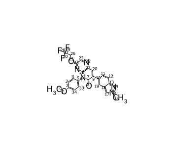 COc1ccc(-n2c(=O)c(-c3ccc4nn(C)cc4c3)cc3ncc(OCC(F)(F)F)nc32)cc1